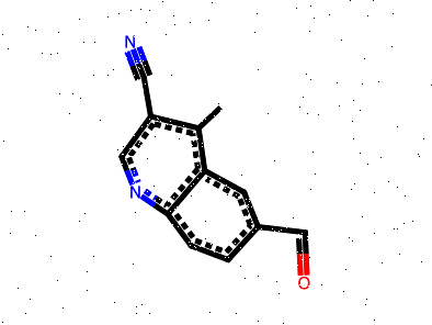 Cc1c(C#N)cnc2ccc(C=O)cc12